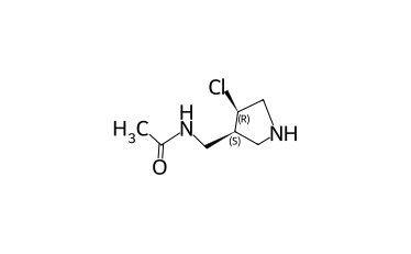 CC(=O)NC[C@@H]1CNC[C@@H]1Cl